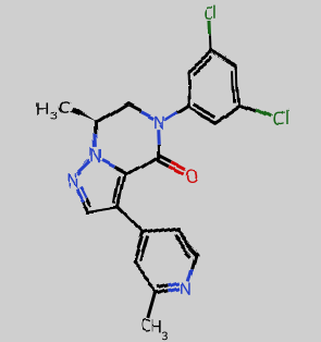 Cc1cc(-c2cnn3c2C(=O)N(c2cc(Cl)cc(Cl)c2)C[C@@H]3C)ccn1